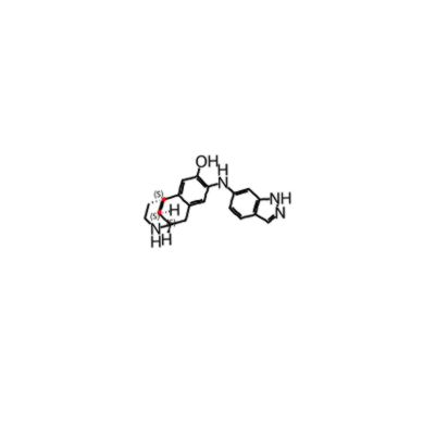 Oc1cc2c(cc1Nc1ccc3cn[nH]c3c1)C[C@@H]1NCC[C@]23CCCC[C@H]13